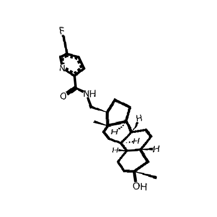 C[C@@]1(O)CC[C@H]2[C@H](CC[C@@H]3[C@@H]2CC[C@]2(C)[C@@H](CNC(=O)c4ccc(F)cn4)CC[C@@H]32)C1